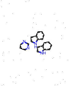 c1ccc2[nH]ccc2c1.c1ccc2[nH]ccc2c1.c1cncnc1